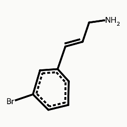 NCC=Cc1cccc(Br)c1